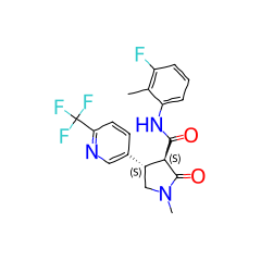 Cc1c(F)cccc1NC(=O)[C@H]1C(=O)N(C)C[C@@H]1c1ccc(C(F)(F)F)nc1